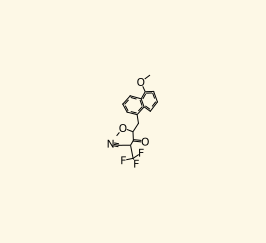 COc1cccc2c(CC(OC)C(=O)C(C#N)C(F)(F)F)cccc12